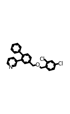 Clc1ccc(COCc2ccc(-c3ccccc3)c(-c3cccnc3)c2)c(Cl)c1